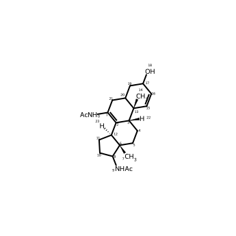 CC(=O)NC1=C2[C@@H](CC[C@]3(C)C(NC(C)=O)CC[C@@H]23)[C@@]2(C)C=CC(O)CC2C1